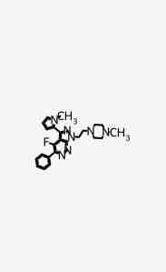 CN1CCN(CCn2nc(-c3cccn3C)c3c(F)c(-c4ccccc4)nnc32)CC1